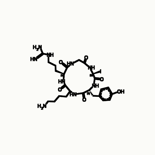 N=C(N)NCCC[C@@H]1NC(=O)C(CCCCN)NC(=O)[C@@H](Cc2ccc(O)cc2)NC(=O)[C@H](I)NC(=O)CNC1=O